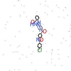 O=C(c1ccc2nc(-c3ccc(Cl)cc3)oc2c1)N1CCN(c2nc3ccccc3c(=O)[nH]2)CC1